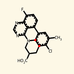 Cc1cc(-c2ccc(F)c3ncnc(N4CCCC(C(=O)O)C4)c23)ccc1Cl